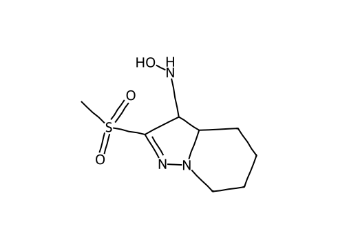 CS(=O)(=O)C1=NN2CCCCC2C1NO